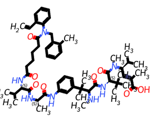 C=Cc1ccccc1N(Cc1ccccc1C)C(=O)CCCCC(=O)N[C@H](C(=O)N[C@@H](C)C(=O)Nc1cccc(C(C)(C)C(NC)C(=O)N[C@H](C(=O)N(C)[C@H](/C=C(\C)C(=O)O)C(C)C)C(C)(C)C)c1)C(C)C